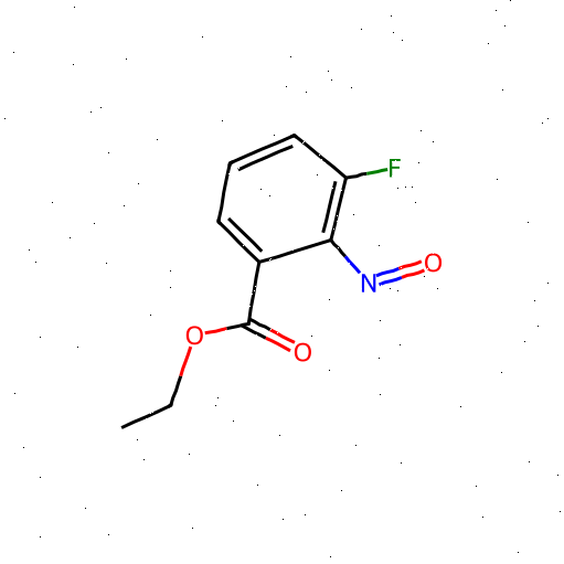 CCOC(=O)c1cccc(F)c1N=O